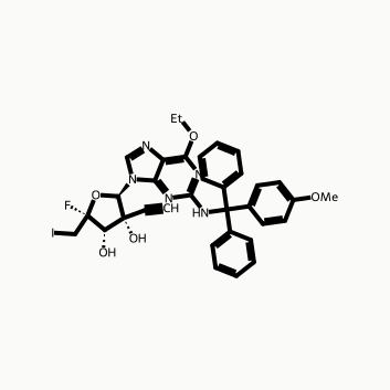 C#C[C@]1(O)[C@H](n2cnc3c(OCC)nc(NC(c4ccccc4)(c4ccccc4)c4ccc(OC)cc4)nc32)O[C@](F)(CI)[C@H]1O